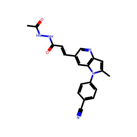 CC(=O)NNC(=O)/C=C/c1cnc2cc(C)n(-c3ccc(C#N)cc3)c2c1